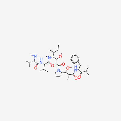 CC[C@H](C)[C@@H]([C@@H](CC(=O)N1CCC[C@H]1[C@H](OC)[C@@H](C)C(=O)N[C@@H](Cc1ccccc1)C(=O)C(C)C)OC)N(C)C(=O)[C@@H](NC(=O)[C@H](C(C)C)N(C)C)C(C)C